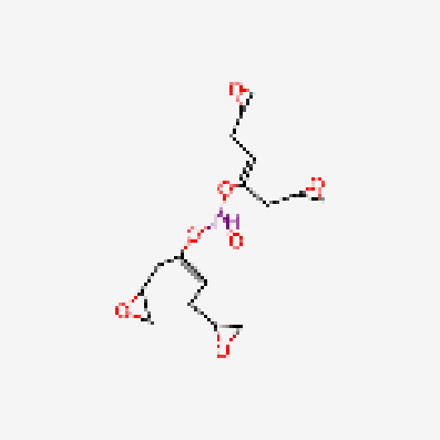 O=[PH](OC(=CCC1CO1)CC1CO1)OC(=CCC1CO1)CC1CO1